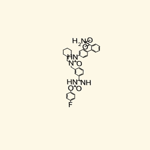 N=C(NC(=O)Oc1ccc(F)cc1)c1cccc(CN(CC2CCCCC2)C(=O)Nc2ccc(-c3ccccc3S(N)(=O)=O)cc2)c1